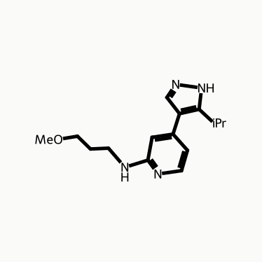 COCCCNc1cc(-c2cn[nH]c2C(C)C)ccn1